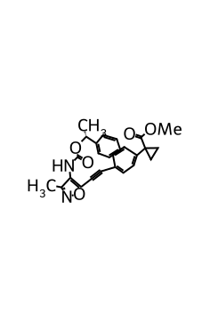 COC(=O)C1(c2ccc(C#Cc3onc(C)c3NC(=O)O[C@H](C)c3ccccc3)cc2)CC1